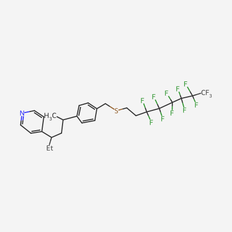 CCC(CC(C)c1ccc(CSCCC(F)(F)C(F)(F)C(F)(F)C(F)(F)C(F)(F)C(F)(F)F)cc1)c1ccncc1